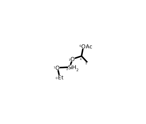 CCO[SiH2]OC(C)OC(C)=O